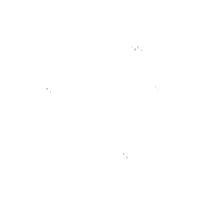 N#CCCC(CCC#N)(CCC#N)CCCN